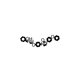 O=c1n(-c2ccc(OCCNCC3(O)CCCCC3)cc2)ccn1-c1ccc(Oc2ccccc2)cc1